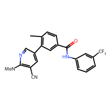 CNc1ncc(-c2cc(C(=O)Nc3cccc(C(F)(F)F)c3)ccc2C)cc1C#N